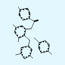 C[C@@H](C(=O)c1ccc(O)cc1)c1cc(O)cc(O)c1[C@H](Cc1ccc(O)cc1)c1cc(O)cc(O)c1